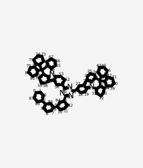 c1ccc(-c2cccc(-c3cccc(-c4nc(-c5ccc6c(c5)c5cccc7c5n6-c5ccccc5C7(c5ccccc5)c5ccccc5)nc(-c5ccc6c(c5)c5cccc7c5n6-c5ccccc5C7(c5ccccc5)c5ccccc5)n4)c3)c2)cc1